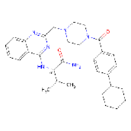 CC(C)[C@H](Nc1nc(CN2CCN(C(=O)c3ccc(C4CCCCC4)cc3)CC2)nc2ccccc12)C(N)=O